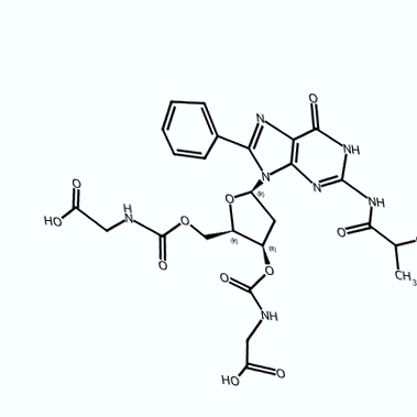 CC(C)C(=O)Nc1nc2c(nc(-c3ccccc3)n2[C@H]2C[C@@H](OC(=O)NCC(=O)O)[C@@H](COC(=O)NCC(=O)O)O2)c(=O)[nH]1